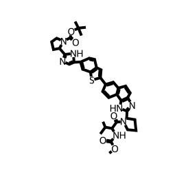 COC(=O)NC(C(=O)N1CCCC1c1nc2ccc3cc(-c4cc5ccc(-c6cnc(C7CCCN7C(=O)OC(C)(C)C)[nH]6)cc5s4)ccc3c2[nH]1)C(C)C